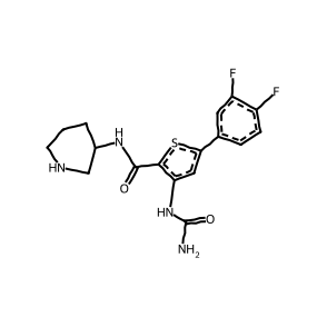 NC(=O)Nc1cc(-c2ccc(F)c(F)c2)sc1C(=O)NC1CCCNC1